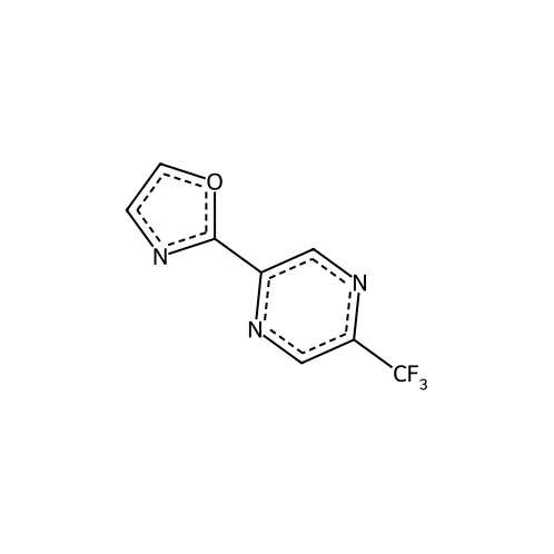 FC(F)(F)c1cnc(-c2ncco2)cn1